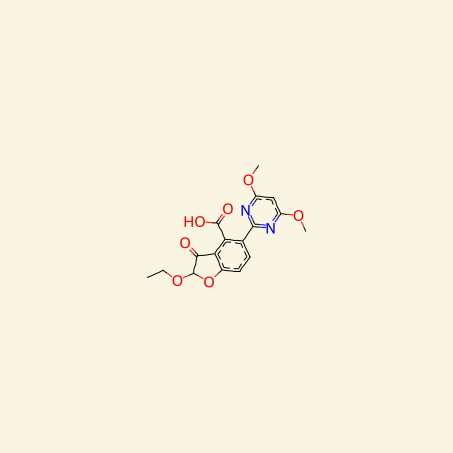 CCOC1Oc2ccc(-c3nc(OC)cc(OC)n3)c(C(=O)O)c2C1=O